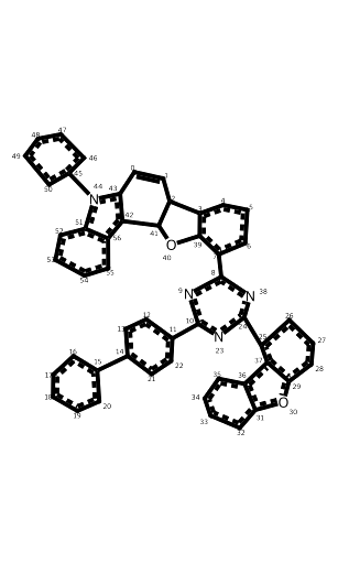 C1=CC2c3cccc(-c4nc(-c5ccc(-c6ccccc6)cc5)nc(-c5cccc6oc7ccccc7c56)n4)c3OC2c2c1n(-c1ccccc1)c1ccccc21